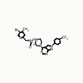 Cc1cc(CNC(=O)[C@H]2CN(c3ncnc4nn(-c5ccc(C(F)(F)F)cc5)cc34)CCN2)ncc1Br